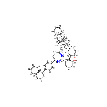 C1=C(c2ccc(-c3cccc4ccccc34)cc2)N=C(c2cccc3oc4ccc(-c5ccc(-c6ccccc6)cc5)cc4c23)N=C(c2ccc3ccccc3c2)C1